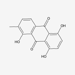 Cc1ccc2c(c1O)C(=O)c1c(O)ccc(O)c1C2=O